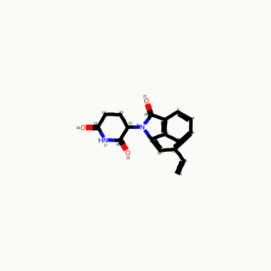 C=CC1=C2C=CC3=C(C2)C(=C1)N(C1CCC(=O)NC1=O)C3=O